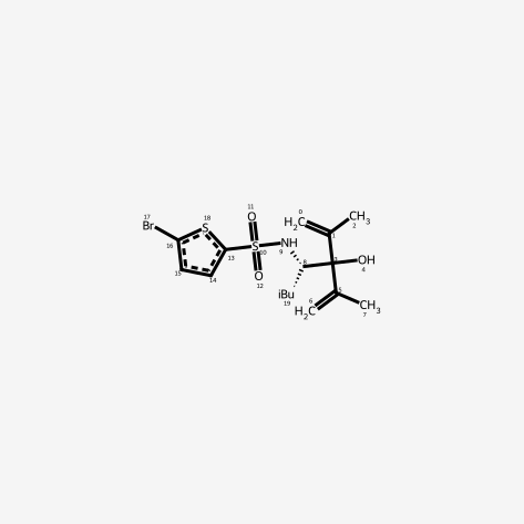 C=C(C)C(O)(C(=C)C)[C@@H](NS(=O)(=O)c1ccc(Br)s1)[C@@H](C)CC